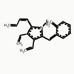 C=C/C=C\c1c(C=C)c(C=C)c(/C=c2/ccccc2=C)n1C